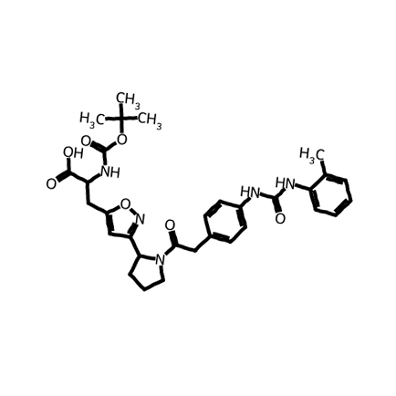 Cc1ccccc1NC(=O)Nc1ccc(CC(=O)N2CCCC2c2cc(CC(NC(=O)OC(C)(C)C)C(=O)O)on2)cc1